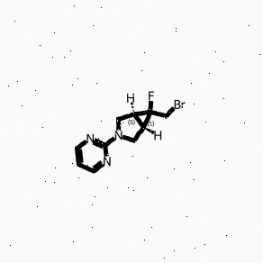 FC1(CBr)[C@@H]2CN(c3ncccn3)C[C@H]21